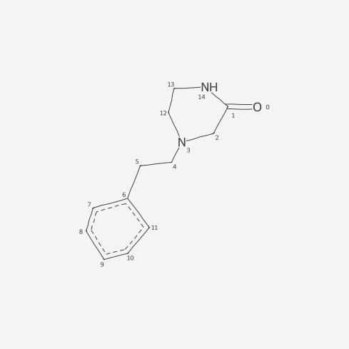 O=C1CN(CCc2ccccc2)CCN1